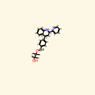 CC(C)(O)C(C)(C)OBc1ccc(-c2cc(-c3ccccn3)nc3ccccc23)cc1